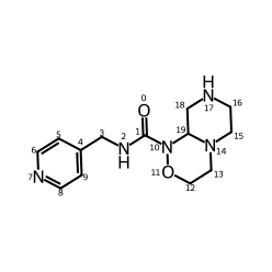 O=C(NCc1ccncc1)N1OCCN2CCNCC21